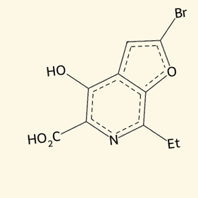 CCc1nc(C(=O)O)c(O)c2cc(Br)oc12